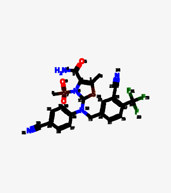 CC1=C(C(N)=O)N(S(C)(=O)=O)C(N(Cc2ccc(C(F)(F)F)c(C#N)c2)c2ccc(C#N)cc2)S1